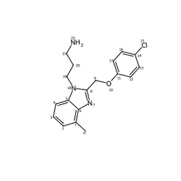 Cc1cccc2c1nc(COc1ccc(Cl)cc1)n2CCCN